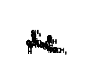 CN1CCN(c2ncc(C(=O)NC(Cc3c[nH]c4ccccc34)c3ccc(CN(CCc4c[nH]c5ccccc45)C(=O)c4cnc(N5CCN(C)CC5)s4)cc3)s2)CC1